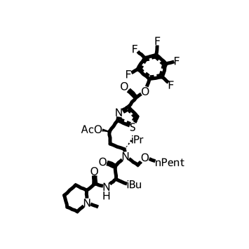 CCCCCOCN(C(=O)C(NC(=O)C1CCCCN1C)C(C)CC)[C@H](C[C@@H](OC(C)=O)c1nc(C(=O)Oc2c(F)c(F)c(F)c(F)c2F)cs1)C(C)C